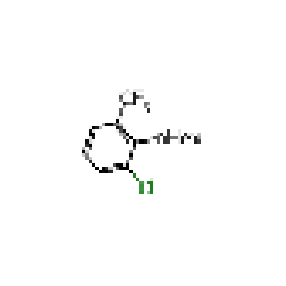 CCCCCCc1c(Cl)cccc1C(F)(F)F